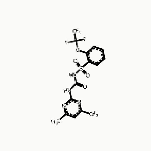 Cc1cc(C)nc(NC(=O)NS(=O)(=O)c2ccccc2OC(F)(F)C(F)(F)F)n1